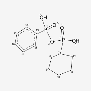 O=P(O)(OP(=O)(O)C1CCCCC1)c1ccccc1